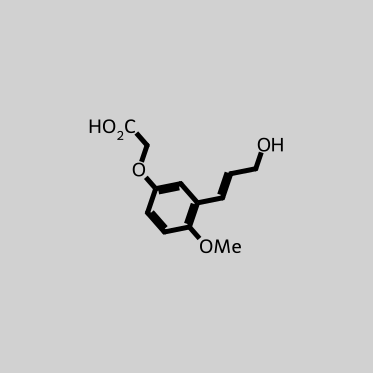 COc1ccc(OCC(=O)O)cc1/C=C/CO